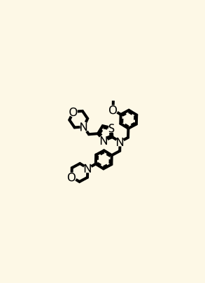 COc1cccc(CN(Cc2ccc(N3CCOCC3)cc2)c2nc(CN3CCOCC3)cs2)c1